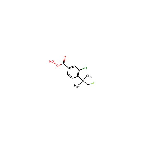 CC(C)(CF)c1ccc(C(=O)OO)cc1Cl